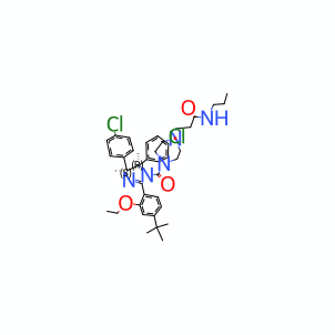 CCCNC(=O)CCN1CCN(C(=O)N2C(c3ccc(C(C)(C)C)cc3OCC)=N[C@@](C)(c3ccc(Cl)cc3)[C@@]2(C)c2ccc(Cl)cc2)CC1